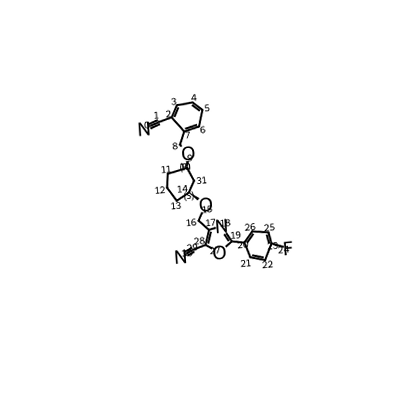 N#Cc1ccccc1CO[C@@H]1CCC[C@H](OCc2nc(-c3ccc(F)cc3)oc2C#N)C1